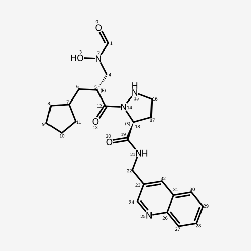 O=CN(O)C[C@@H](CC1CCCC1)C(=O)N1NCC[C@H]1C(=O)NCc1cnc2ccccc2c1